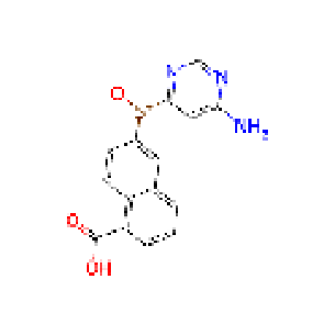 Nc1cc([S+]([O-])c2ccc3c(C(=O)O)cccc3c2)ncn1